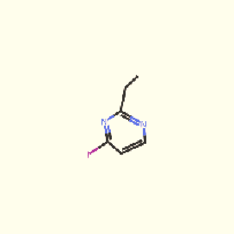 CCc1nccc(I)n1